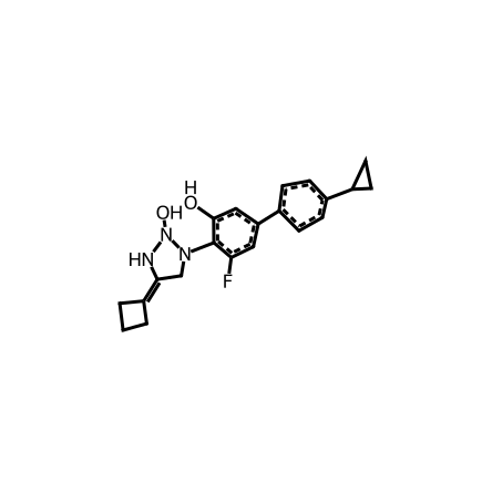 Oc1cc(-c2ccc(C3CC3)cc2)cc(F)c1N1CC(=C2CCC2)NN1O